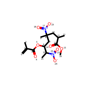 C=C(C)C(=O)OC(CC(C)(CC(C)C(=O)OC)[N+](=O)[O-])C(C)[N+](=O)[O-]